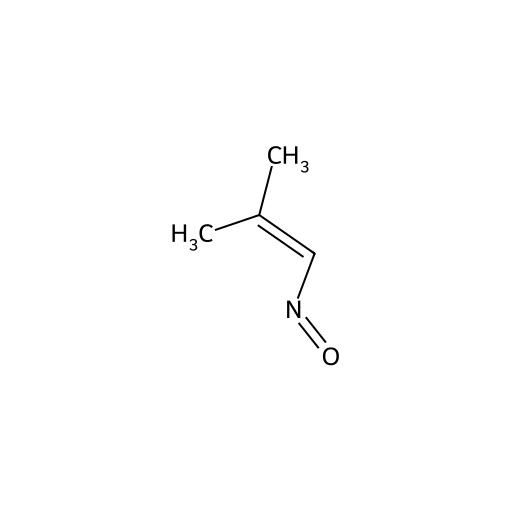 CC(C)=CN=O